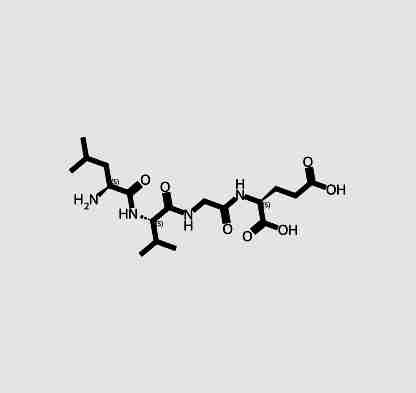 CC(C)C[C@H](N)C(=O)N[C@H](C(=O)NCC(=O)N[C@@H](CCC(=O)O)C(=O)O)C(C)C